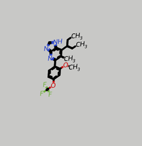 CCC(CC)c1c(C)c(-c2ccc(OC(F)(F)F)cc2OC)nc2nc[nH]c12